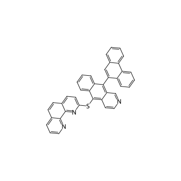 c1ccc2c(c1)cc(-c1c3ccccc3c(Sc3ccc4ccc5cccnc5c4n3)c3ccncc13)c1ccccc12